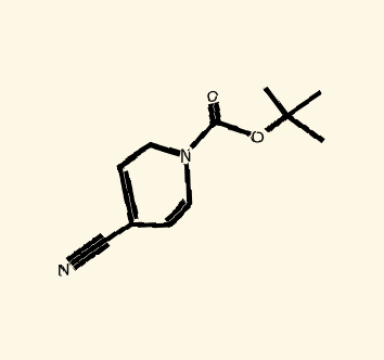 CC(C)(C)OC(=O)N1C=CC(C#N)=CC1